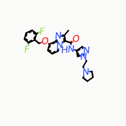 Cc1nc2c(OCc3c(F)cccc3F)cccn2c1C(=O)Nc1cnn(CCN2CCCC2)c1